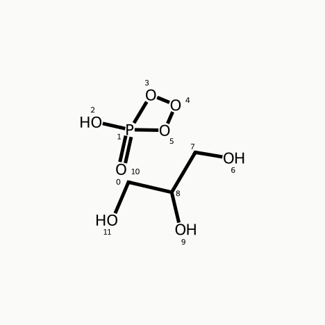 O=P1(O)OOO1.OCC(O)CO